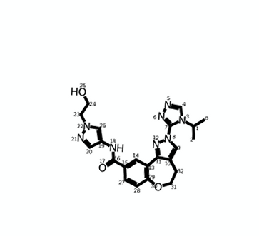 CC(C)n1cnnc1-n1cc2c(n1)-c1cc(C(=O)Nc3cnn(CCO)c3)ccc1OCC2